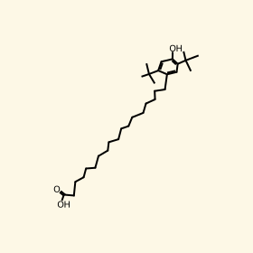 CC(C)(C)c1cc(CCCCCCCCCCCCCCCCCC(=O)O)c(C(C)(C)C)cc1O